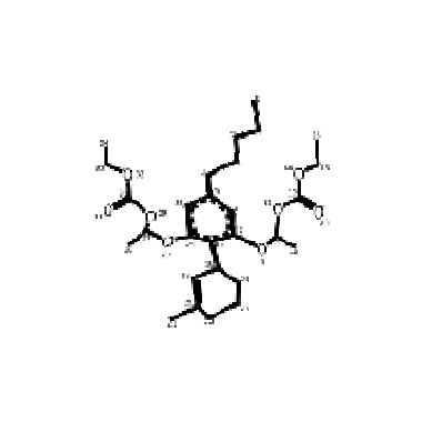 CCCCCc1cc(OC(C)OC(=O)OCC)c(C2C=C(C)CCC2)c(OC(C)OC(=O)OCC)c1